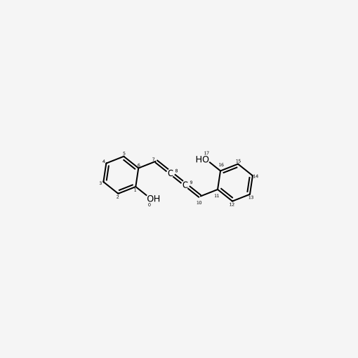 Oc1ccccc1C=C=C=Cc1ccccc1O